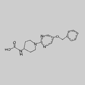 O=C(O)NC1CCN(c2ncc(OCc3ccccc3)cn2)CC1